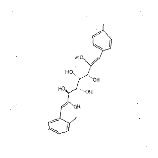 Cc1ccc(C=C(O)[C@H](O)[C@@H](O)[C@H](O)[C@H](O)C(O)=Cc2ccccc2C)cc1